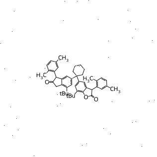 Cc1ccc(C)c(C2C(=O)Cc3c2cc(C2(c4cc5c(c(C(C)(C)C)c4)OC(=O)C5c4cc(C)ccc4C)CCCCC2)cc3C(C)(C)C)c1